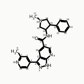 Cc1cc(-c2n[nH]c3ncc(C(=O)NC4CN(C)CC4c4ccccc4)cc23)ccn1